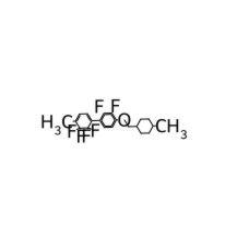 CC1=CC=C(c2ccc(OCC3CCC(C)CC3)c(F)c2F)C(F)(F)C1(F)F